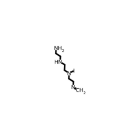 C=NCCN(I)CCNCCN